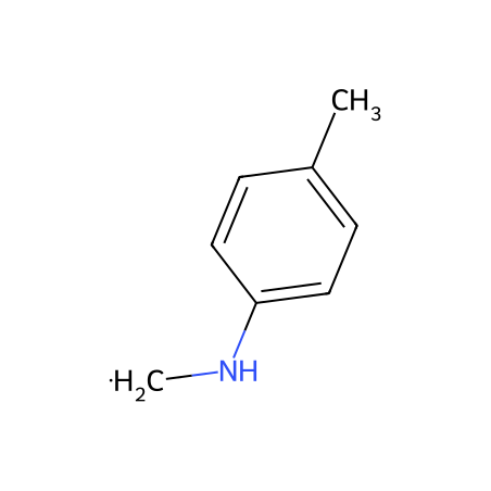 [CH2]Nc1ccc(C)cc1